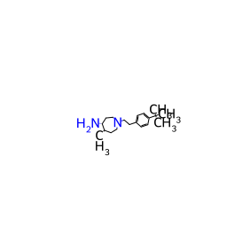 C[C@@H]1CCN(CCc2ccc(C(C)(C)C)cc2)CC[C@H]1N